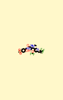 CCn1nc(C(=O)NCC2(O)CCC(S(C)(=O)=O)CC2)c(C)c1-c1cnc(CC(C)(C)C(F)(F)F)cc1OC(F)F